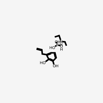 C=CCc1cccc(O)c1O.CCNCC.OB(O)O